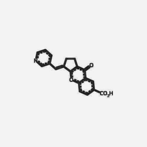 O=C(O)c1ccc2oc3c(c(=O)c2c1)CCC3=Cc1cccnc1